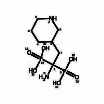 NC(CC1CCCNC1)(P(=O)(O)O)P(=O)(O)O